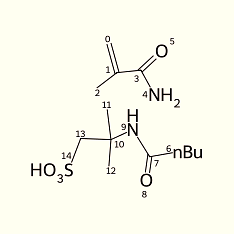 C=C(C)C(N)=O.CCCCC(=O)NC(C)(C)CS(=O)(=O)O